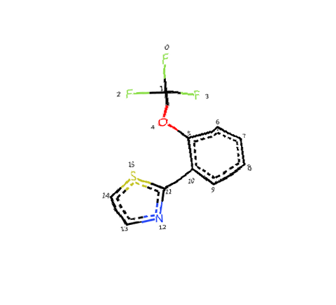 FC(F)(F)Oc1[c]cccc1-c1nccs1